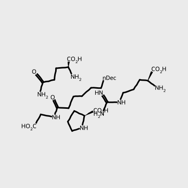 CCCCCCCCCCCCCCCC(=O)NCC(=O)O.N=C(N)NCCC[C@H](N)C(=O)O.NC(=O)CC[C@H](N)C(=O)O.O=C(O)[C@@H]1CCCN1